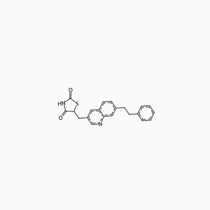 O=C1NC(=O)C(Cc2cnc3cc(CCc4ccccc4)ccc3c2)S1